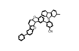 CC1C=CC2=C(C1)N(c1ccc(C#N)cc1-c1ccc3c(c1)C1c4oc5ccc(-c6ccccc6)cc5c4C=CC1O3)C1C=CC=CC21